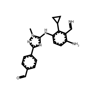 Cn1nc(-c2ccc(C=O)cc2)nc1Nc1ccc(N)c(C=N)c1C1CC1